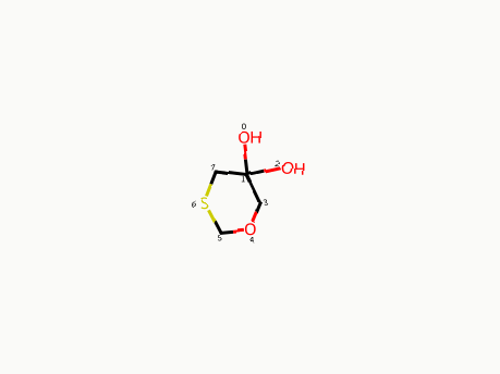 OC1(O)COCSC1